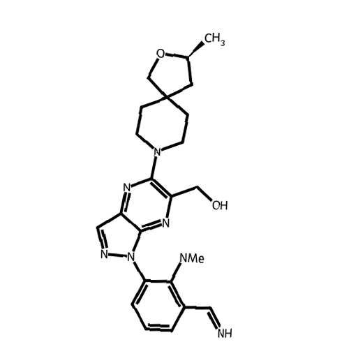 CNc1c(C=N)cccc1-n1ncc2nc(N3CCC4(CC3)CO[C@@H](C)C4)c(CO)nc21